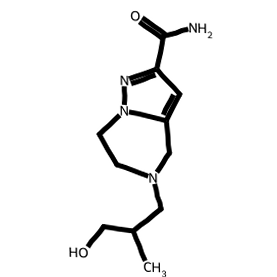 CC(CO)CN1CCn2nc(C(N)=O)cc2C1